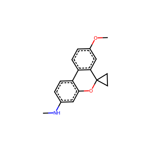 CNc1ccc2c(c1)OC1(CC1)c1cc(OC)ccc1-2